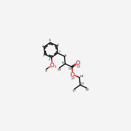 COc1ccccc1CC(C)C(=O)OCC(C)C